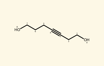 OCCC#CCCCO